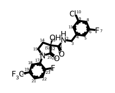 O=C(NCc1cc(F)cc(Cl)c1)[C@@]1(O)CCN(c2cc(C(F)(F)F)ccc2F)C1=O